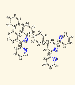 c1ccc(-c2cccc3c(-c4ccccn4)nc4c(-c5ccc(-c6cc(-c7ccccn7)nc(-c7ccccn7)c6)cc5)cccc4c23)cc1